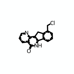 O=c1[nH]c2c(c3ncccc13)Cc1c(CCl)cccc1-2